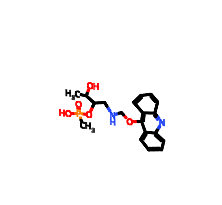 CC(O)C(CNCOc1c2ccccc2nc2ccccc12)OP(C)(=O)O